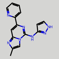 Cc1cn2c(Nc3cc[nH]n3)nc(-c3ccccn3)cc2n1